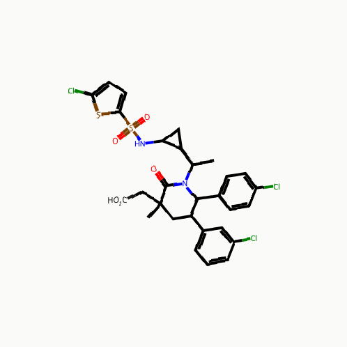 CC(C1CC1NS(=O)(=O)c1ccc(Cl)s1)N1C(=O)C(C)(CC(=O)O)CC(c2cccc(Cl)c2)C1c1ccc(Cl)cc1